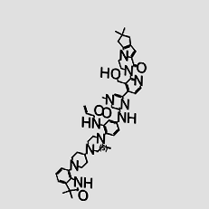 C=CC(=O)Nc1cc(Nc2nc(-c3ccnc(N4CCn5c(cc6c5CC(C)(C)C6)C4=O)c3CO)cn(C)c2=O)ccc1N1CCN(C2CCN(c3cccc4c3NC(=O)C4(C)C)CC2)C[C@@H]1C